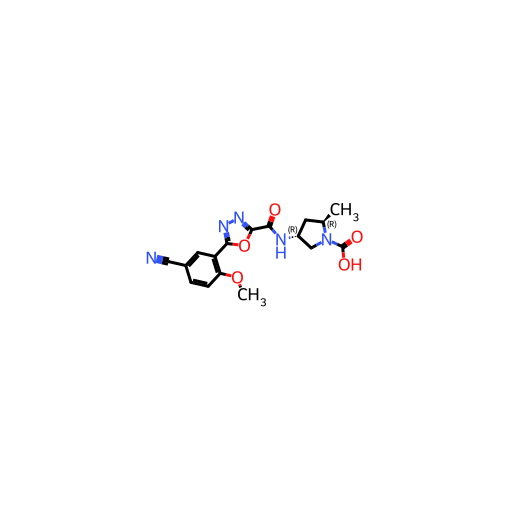 COc1ccc(C#N)cc1-c1nnc(C(=O)N[C@@H]2C[C@@H](C)N(C(=O)O)C2)o1